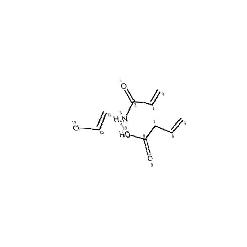 C=CC(N)=O.C=CCC(=O)O.C=CCl